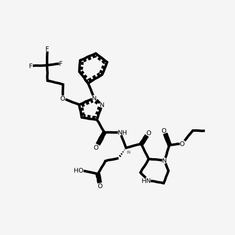 CCOC(=O)N1CCNCC1C(=O)[C@H](CCC(=O)O)NC(=O)c1cc(OCCC(F)(F)F)n(-c2ccccc2)n1